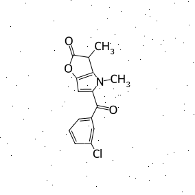 CC1C(=O)Oc2cc(C(=O)c3cccc(Cl)c3)n(C)c21